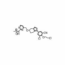 CS(=O)(=O)Nc1nccc(COC2CCc3c(ccn3-c3cc(Cl)c(OCCCl)c(C#N)c3)C2)n1